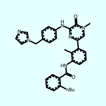 CCCCc1ccccc1C(=O)Nc1cccc(-c2cn(C)c(=O)c(Nc3ccc(Cn4ccnc4)cc3)n2)c1C